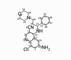 N#Cc1cnc2c(Cl)cc(N)cc2c1NC(CCN1CCOCC1)c1ccccc1